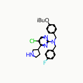 CC(C)COc1ccc(CN(Cc2ccc(F)cc2)c2ncc(Cl)c(C3CCNC3)n2)cc1